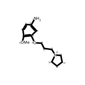 COc1ccc(N)cc1OCCCN1CCCC1